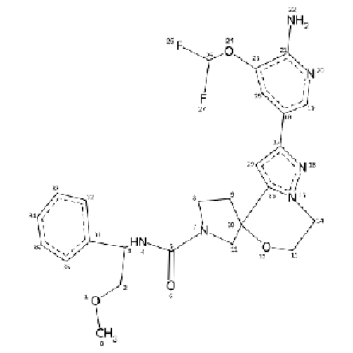 COCC(NC(=O)N1CCC2(C1)OCCn1nc(-c3cnc(N)c(OC(F)F)c3)cc12)c1ccccc1